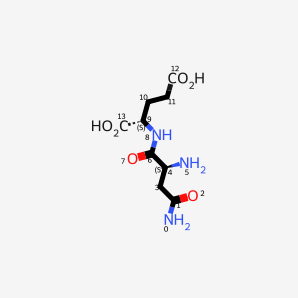 NC(=O)C[C@H](N)C(=O)N[C@@H](CCC(=O)O)C(=O)O